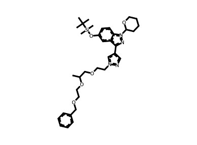 CC(COCCn1cc(-c2nn(C3CCCCO3)c3ccc(O[Si](C)(C)C(C)(C)C)cc23)cn1)OCCOCc1ccccc1